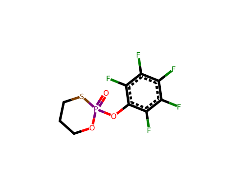 O=P1(Oc2c(F)c(F)c(F)c(F)c2F)OCCCS1